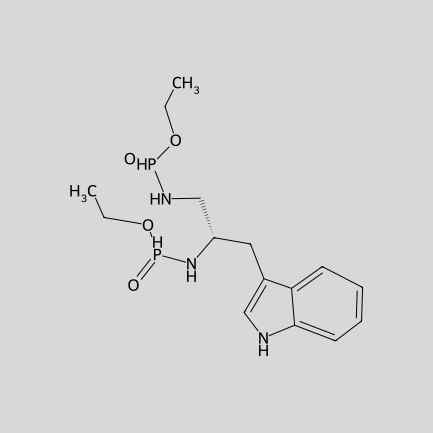 CCO[PH](=O)NC[C@H](Cc1c[nH]c2ccccc12)N[PH](=O)OCC